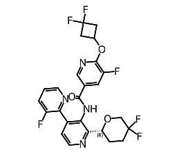 O=C(Nc1c(-c2ncccc2F)ccnc1[C@H]1CCC(F)(F)CO1)c1cnc(OC2CC(F)(F)C2)c(F)c1